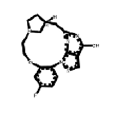 Oc1nc2nc3c1cnn3-c1ccc(F)cc1OCCN1CC[C@H](C2)C1